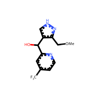 COCc1n[nH]cc1C(O)c1cc(C(F)(F)F)ccn1